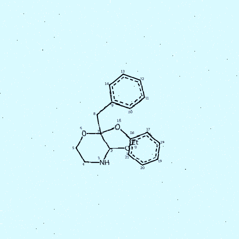 CCOC1NCCOC1(Cc1ccccc1)Oc1ccccc1